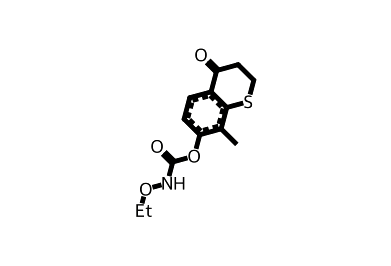 CCONC(=O)Oc1ccc2c(c1C)SCCC2=O